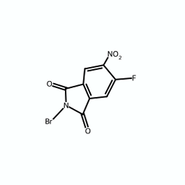 O=C1c2cc(F)c([N+](=O)[O-])cc2C(=O)N1Br